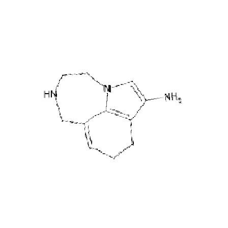 Nc1cn2c3c1CCC=C3CNCC2